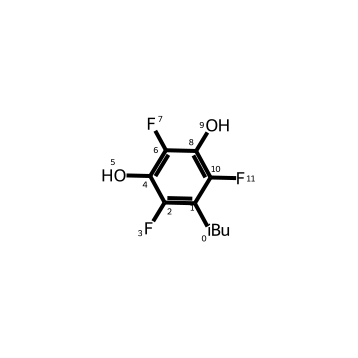 CCC(C)c1c(F)c(O)c(F)c(O)c1F